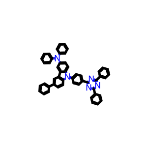 c1ccc(-c2ccc3c(c2)c2cc(N(c4ccccc4)c4ccccc4)ccc2n3-c2ccc(-c3nc(-c4ccccc4)nc(-c4ccccc4)n3)cc2)cc1